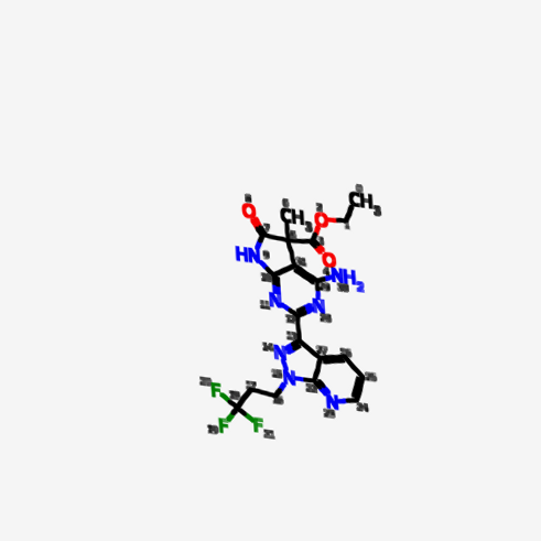 CCOC(=O)C1(C)C(=O)Nc2nc(-c3nn(CCC(F)(F)F)c4ncccc34)nc(N)c21